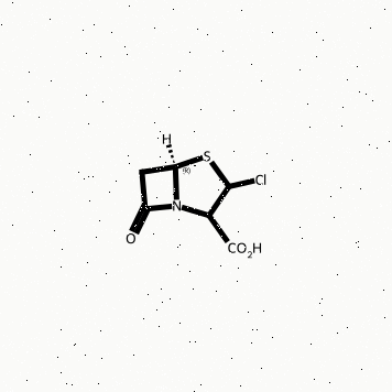 O=C(O)C1C(Cl)S[C@@H]2CC(=O)N12